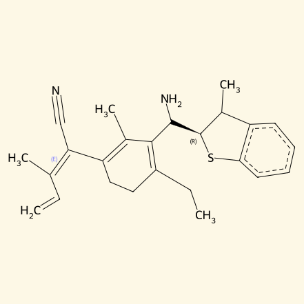 C=C/C(C)=C(/C#N)C1=C(C)C(C(N)[C@@H]2Sc3ccccc3C2C)=C(CC)CC1